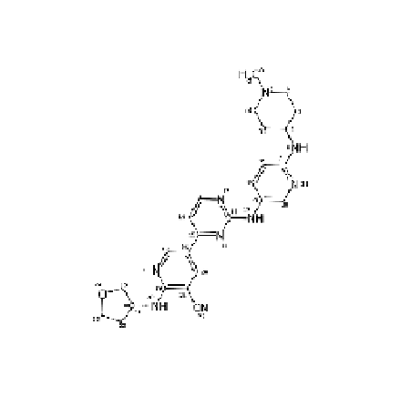 CN1CCC(Nc2ccc(Nc3nccc(-c4cnc(N[C@@H]5CCOC5)c(C#N)c4)n3)cn2)CC1